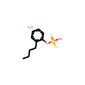 CCCCc1ccccc1OP(O)(=S)S.O